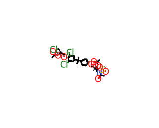 CC(=O)O[C@@H](CCl)COc1c(Cl)cc(C(C)(C)c2ccc(OC[C@@H](CN(C(C)=O)S(C)(=O)=O)OC(C)=O)cc2)cc1Cl